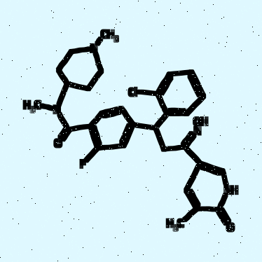 Cc1cc(/C(CC(c2ccc(C(=O)N(C)C3CCN(C)CC3)c(F)c2)c2ccccc2Cl)=N/O)c[nH]c1=O